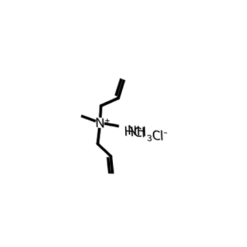 C=CC[N+](C)(C)CC=C.Cl.N.[Cl-]